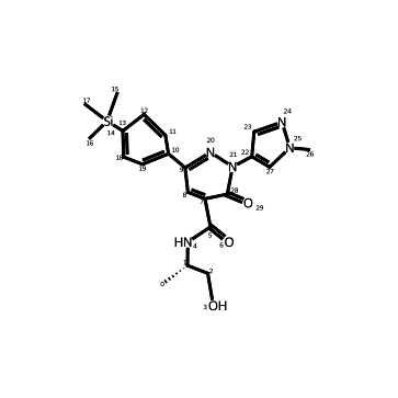 C[C@@H](CO)NC(=O)c1cc(-c2ccc([Si](C)(C)C)cc2)nn(-c2cnn(C)c2)c1=O